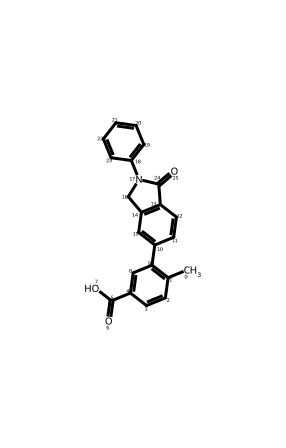 Cc1ccc(C(=O)O)cc1-c1ccc2c(c1)CN(c1ccccc1)C2=O